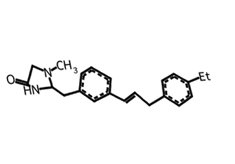 CCc1ccc(CC=Cc2cccc(CC3NC(=O)CN3C)c2)cc1